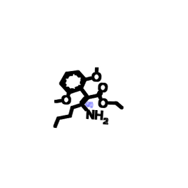 CCCC/C(N)=C(/C(=O)OCC)c1c(OC)cccc1OC